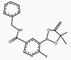 C=C1OB(c2cc(C(=O)NCc3ccccc3)cnc2F)OC1(C)C